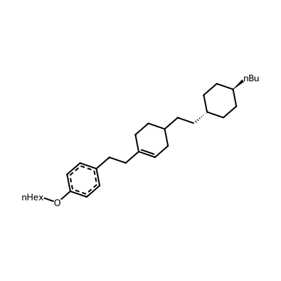 CCCCCCOc1ccc(CCC2=CCC(CC[C@H]3CC[C@H](CCCC)CC3)CC2)cc1